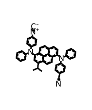 [C-]#[N+]c1ccc(N(c2ccccc2)c2cc(C(C)C)c3ccc4c(N(c5ccccc5)c5ccc(C#N)cc5)ccc5ccc2c3c54)cc1